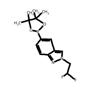 CC1(C)OB(c2ccc3nn(CC(F)F)cc3c2)OC1(C)C